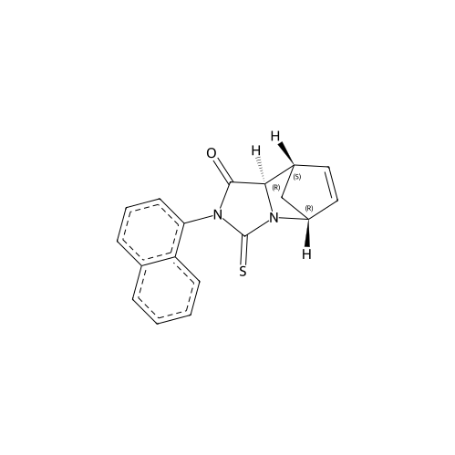 O=C1[C@H]2[C@@H]3C=C[C@@H](C3)N2C(=S)N1c1cccc2ccccc12